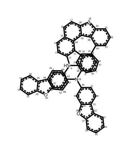 c1ccc([SiH]2c3ccccc3-c3c2ccc2ccc4sc5cccc(-c6ccc(N(c7ccc8c(c7)oc7ccccc78)c7ccc8c(c7)oc7ccccc78)cc6)c5c4c32)cc1